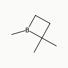 CB1CCC1(C)C